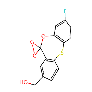 OCc1ccc2c(c1)C1(OO1)OC1=C(CCC(F)=C1)S2